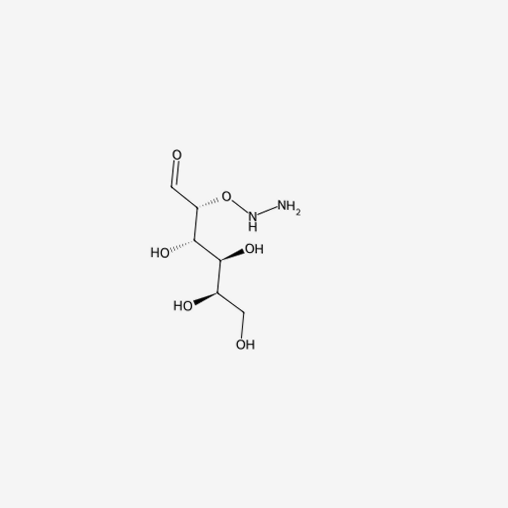 NNO[C@@H](C=O)[C@@H](O)[C@@H](O)[C@H](O)CO